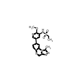 CCS(=O)(=O)Nc1cc(-c2ccc3ncc4nnc(C)n4c3c2)cnc1OC